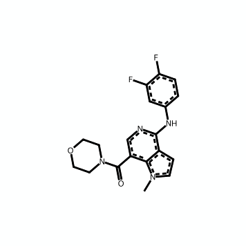 Cn1ccc2c(Nc3ccc(F)c(F)c3)ncc(C(=O)N3CCOCC3)c21